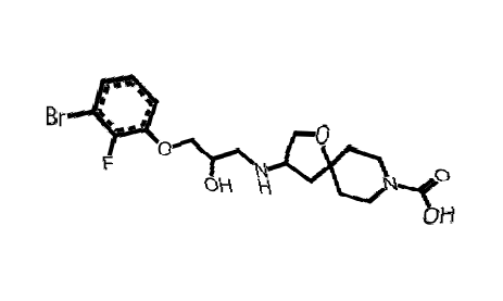 O=C(O)N1CCC2(CC1)CC(NCC(O)COc1cccc(Br)c1F)CO2